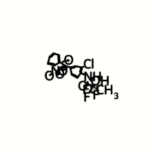 C[C@@](O)(C(=O)Nc1ccc(S(=O)(=O)c2ccccc2[N+](=O)[O-])cc1Cl)C(F)(F)F